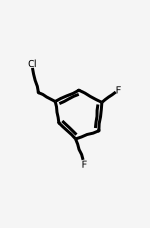 Fc1cc(F)cc(CCl)c1